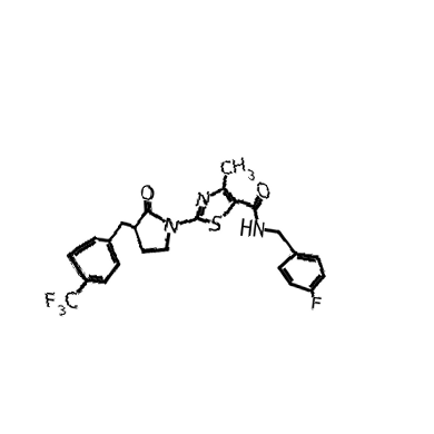 Cc1nc(N2CCC(Cc3ccc(C(F)(F)F)cc3)C2=O)sc1C(=O)NCc1ccc(F)cc1